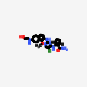 COc1c(Nc2ncc(Cl)c(N[C@H]3[C@@H](C(N)=O)[C@@H]4C=C[C@H]3C4)n2)ccc2c1CCC(NCCO)CC2